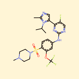 Cc1ncc(-c2nc(Nc3ccc(S(=O)(=O)N4CCN(C)CC4)c(OC(F)(F)F)c3)ncc2F)n1C(C)C